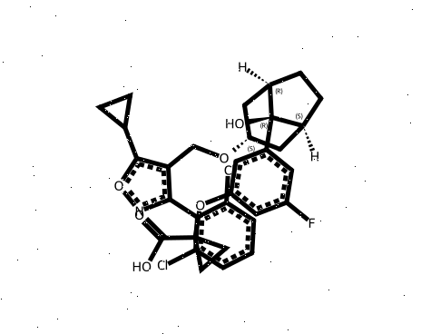 O=C(O)C1(Oc2cc(F)cc([C@]3(O)[C@@H]4CC[C@H]3C[C@H](OCc3c(-c5c(Cl)cccc5Cl)noc3C3CC3)C4)c2)CC1